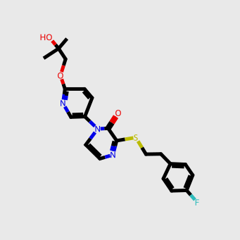 CC(C)(O)COc1ccc(-n2ccnc(SCCc3ccc(F)cc3)c2=O)cn1